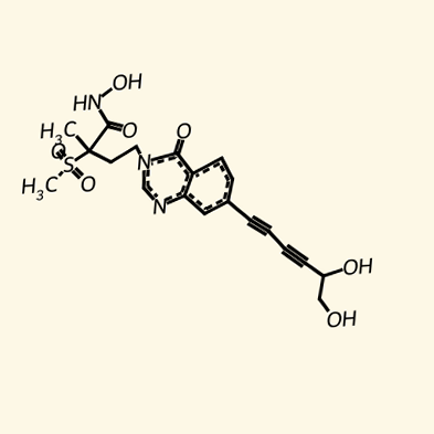 CC(CCn1cnc2cc(C#CC#CC(O)CO)ccc2c1=O)(C(=O)NO)S(C)(=O)=O